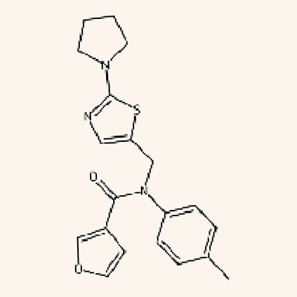 Cc1ccc(N(Cc2cnc(N3CCCC3)s2)C(=O)c2ccoc2)cc1